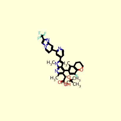 Cc1nc2c(cc(-c3ccnc(-c4ccn5cc(C(F)(F)F)nc5c4)c3)n2C)c(-c2cc(F)c3c(c2C)CCCO3)c1[C@H](OC(C)(C)C)C(=O)O